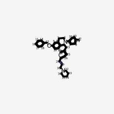 Fc1ccc(N2CCc3cc(OCc4ccccc4)ccc3C2Cc2ccc(/C=C/CN3CCCCC3)cc2)cc1